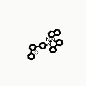 c1ccc2c(c1)-c1ccccc1-n1c(nc3ccc4ccccc4c31)N2c1ccc(-c2cccc3c2oc2ccccc23)cc1